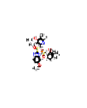 COc1ccc2nc([S+]([O-])Cc3ncc(C)c(OC)c3C)n(S(=O)(=O)C[C@]34CC[C@@H](CC3=O)C4(C)C)c2c1